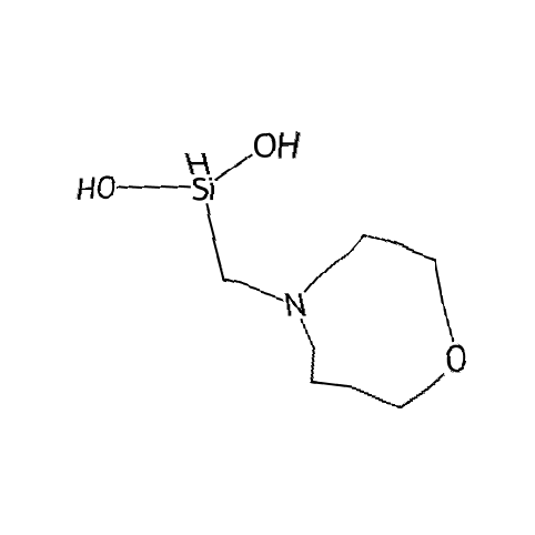 O[SiH](O)CN1CCOCC1